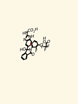 O=C(O)C(F)(F)F.O=C(O)Nc1nc2cc(C3(O)c4ccccc4C(=O)N3c3cccc(Cl)c3F)ccc2[nH]1